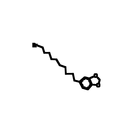 BrCCCCCCCCCCc1ccc2c(c1)OCO2